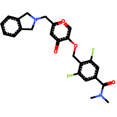 CN(C)C(=O)c1cc(F)c(COc2coc(CN3Cc4ccccc4C3)cc2=O)c(F)c1